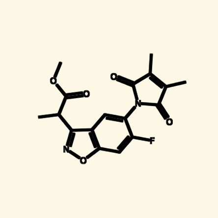 COC(=O)C(C)c1noc2cc(F)c(N3C(=O)C(C)=C(C)C3=O)cc12